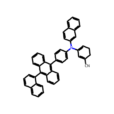 N#CC1=CC(N(c2ccc(-c3c4ccccc4c(-c4cccc5ccccc45)c4ccccc34)cc2)c2ccc3ccccc3c2)=CCC1